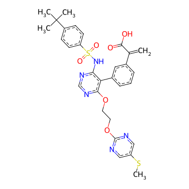 C=C(C(=O)O)c1cccc(-c2c(NS(=O)(=O)c3ccc(C(C)(C)C)cc3)ncnc2OCCOc2ncc(SC)cn2)c1